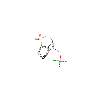 O=C(O)C(F)(F)Oc1c2c3oc1cc3S(=O)(=O)O2